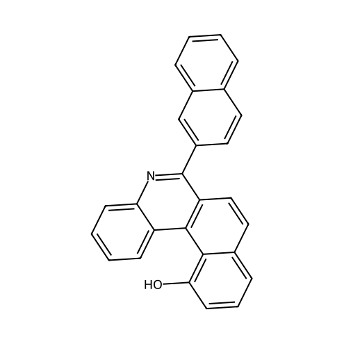 Oc1cccc2ccc3c(-c4ccc5ccccc5c4)nc4ccccc4c3c12